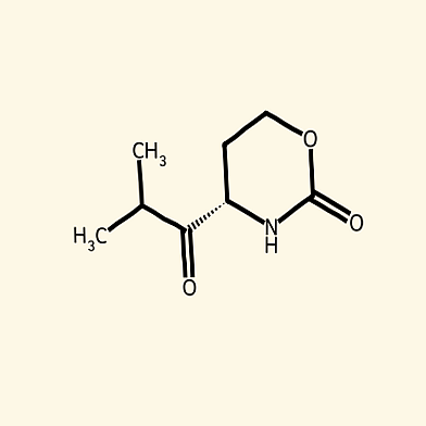 CC(C)C(=O)[C@@H]1CCOC(=O)N1